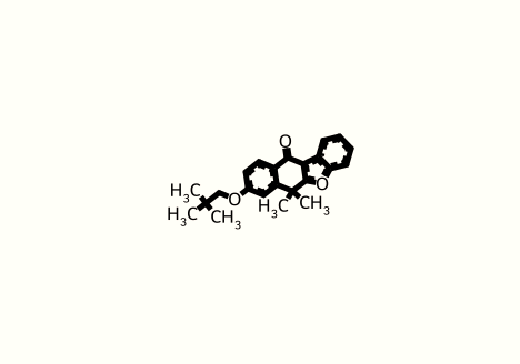 CC(C)(C)COc1ccc2c(c1)C(C)(C)c1oc3ccccc3c1C2=O